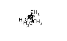 Cc1cc(C)n(C(C)C)c1